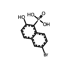 O=P(O)(O)c1c(O)ccc2cc(Br)ccc12